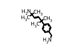 CC(C)(N)/C=C/C(C)(C)c1ccc(CN)cc1